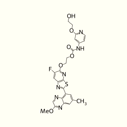 COc1cnc2c(-c3nc4cc(F)c(OCCOC(=O)Nc5ccnc(OCCO)c5)nc4s3)cc(C)cc2n1